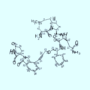 CN1CC[C@H]2CC[C@@H](C(=O)N[C@@H](CCC(N)=O)C(=O)N[C@H](COCC#Cc3cccc4c3CN(C3CCC(=O)NC3=O)C4=O)c3ccccc3)N2C(=O)[C@@H](N)C1